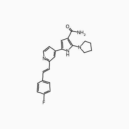 NC(=O)c1cc(-c2ccnc(C=Cc3ccc(F)cc3)c2)[nH]c1N1CCCC1